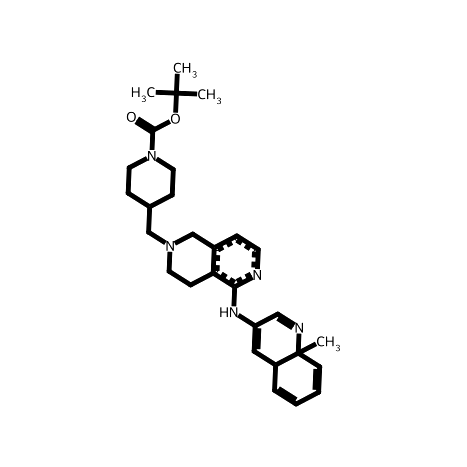 CC(C)(C)OC(=O)N1CCC(CN2CCc3c(ccnc3NC3=CC4C=CC=CC4(C)N=C3)C2)CC1